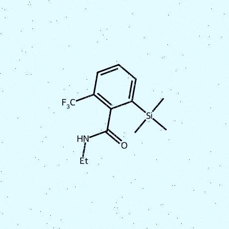 CCNC(=O)c1c(C(F)(F)F)cccc1[Si](C)(C)C